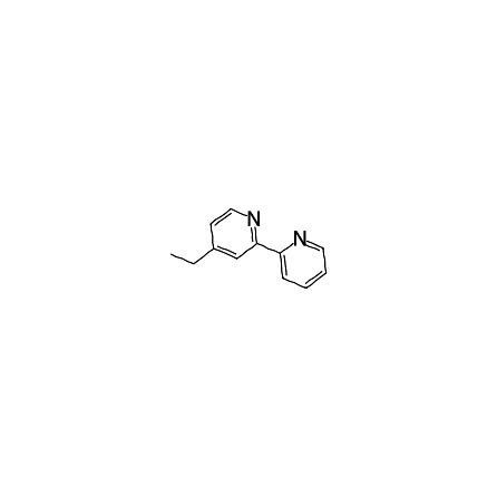 CCc1ccnc(-c2ccccn2)c1